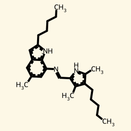 CCCCCc1cc2cc(C)cc(/N=C/c3[nH]c(C)c(CCCCC)c3C)c2[nH]1